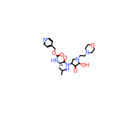 CC(C)C[C@H](NC(=O)OCc1ccncc1)C(=O)NC1CN(CCN2CCOCC2)C(O)C1=O